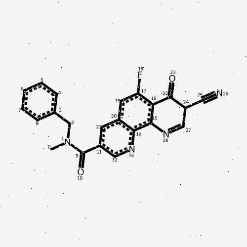 CN(Cc1ccccc1)C(=O)c1cnc2c3c(c(F)cc2c1)C(=O)C(C#N)C=N3